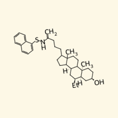 C=C(CCCC1CCC2[C@@H]3C[C@H](CC)[C@@H]4C[C@H](O)CC[C@]4(C)C3CCC12C)NSc1cccc2ccccc12